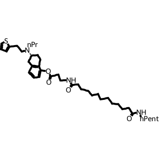 CCCCCNC(=O)CCCCCCCCCCCC(=O)NCCC(=O)Oc1cccc2c1CC[C@@H](N(CCC)CCc1cccs1)C2